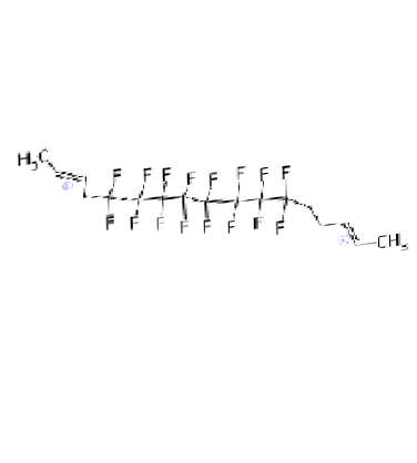 C/C=C/CCC(F)(F)C(F)(F)C(F)(F)C(F)(F)C(F)(F)C(F)(F)C(F)(F)C(F)(F)C/C=C/C